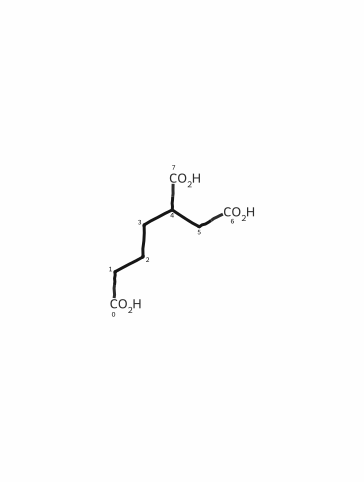 O=C(O)CCCC(CC(=O)O)C(=O)O